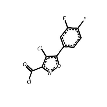 O=C(Cl)c1noc(-c2ccc(F)c(F)c2)c1Cl